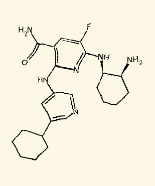 NC(=O)c1cc(F)c(N[C@@H]2CCCC[C@@H]2N)nc1Nc1cncc(C2CCCCC2)c1